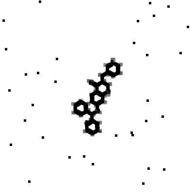 O=C1c2ccc(OC(c3ccccc3)c3ccccc3)cc2OCC1Cc1cccnc1